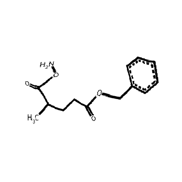 CC(CCC(=O)OCc1ccccc1)C(=O)ON